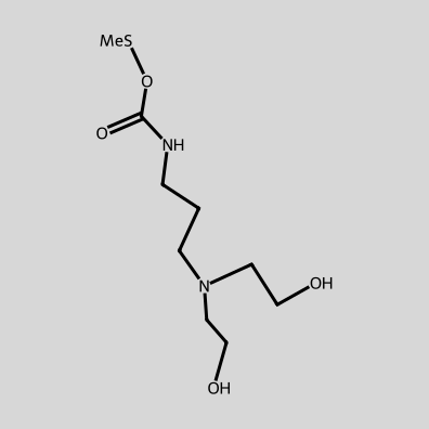 CSOC(=O)NCCCN(CCO)CCO